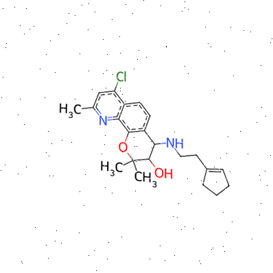 Cc1cc(Cl)c2ccc3c(c2n1)OC(C)(C)C(O)C3NCCC1=CCCC1